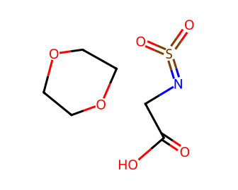 C1COCCO1.O=C(O)CN=S(=O)=O